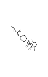 C=COC(=O)Oc1ccc(OC(=O)C2(C)C3(C)CCC2(C)C(=O)C3=O)cc1